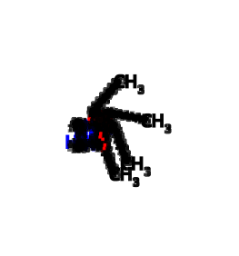 CCCCCCCCCCCCc1ccc(Oc2c(Oc3ccc(CCCCCCCCCCCC)cc3)c(Oc3ccc(CCCCCCCCCCCC)cc3)c3c4nc5nc(nc6[nH]c(nc7nc(nc([nH]4)c3c2Oc2ccc(CCCCCCCCCCCC)cc2)-c2ccccc2-7)c2ccccc62)-c2ccccc2-5)cc1